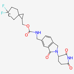 O=C1CCC(N2Cc3ccc(CNC(=O)OCC4CC45CCC(F)(F)CC5)cc3C2=O)C(=O)N1